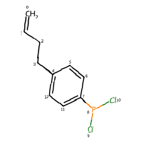 C=CCCc1ccc(P(Cl)Cl)cc1